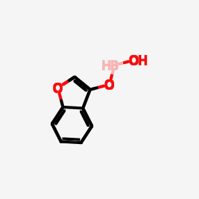 OBOc1coc2ccccc12